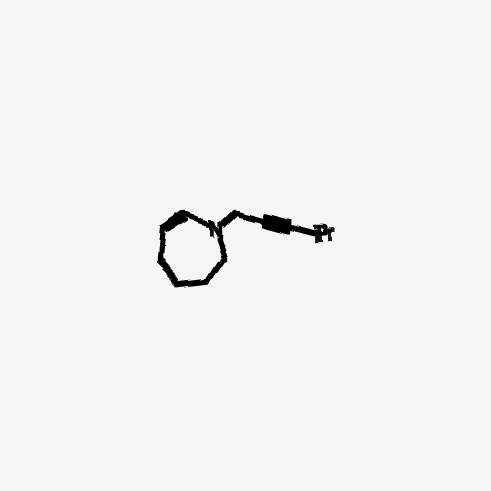 CC(C)C#CCN1C=CCCCC1